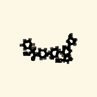 Cn1cc(-c2cn3ncc(C#N)c3c(-c3ccc(N4CCN(C(=O)[C@@](C)(c5ccccc5)C(C)(C)C)CC4)nc3)n2)cn1